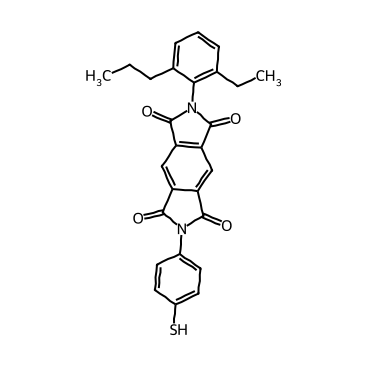 CCCc1cccc(CC)c1-n1c(=O)c2cc3c(=O)n(-c4ccc(S)cc4)c(=O)c3cc2c1=O